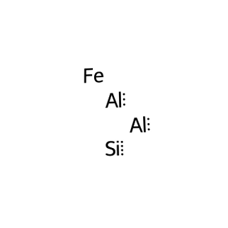 [Al].[Al].[Fe].[Si]